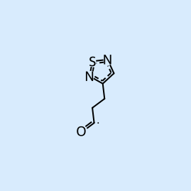 O=[C]CCc1cnsn1